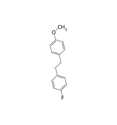 COc1ccc(C[CH]c2ccc(F)cc2)cc1